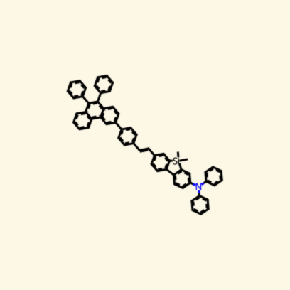 C[Si]1(C)c2cc(/C=C/c3ccc(-c4ccc5c(-c6ccccc6)c(-c6ccccc6)c6ccccc6c5c4)cc3)ccc2-c2ccc(N(c3ccccc3)c3ccccc3)cc21